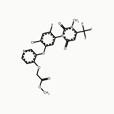 COC(=O)COc1ccncc1Oc1cc(-n2c(=O)cc(C(F)(F)F)n(C)c2=O)c(F)cc1Cl